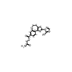 CC(C)c1ncnn1-c1nc2c(s1)CCOc1cc(C(=O)OCC(N)=O)ccc1-2